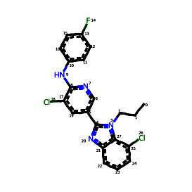 CCCn1c(-c2cnc(Nc3ccc(F)cc3)c(Cl)c2)nc2cccc(Cl)c21